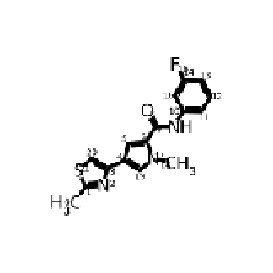 Cc1nc(-c2cc(C(=O)Nc3cccc(F)c3)n(C)c2)cs1